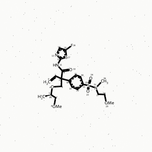 C=CC(CO[C@H](C)COC)(C(=O)Nc1ncc(F)s1)c1ccc(S(=O)(=O)N(C)CCOC)cc1